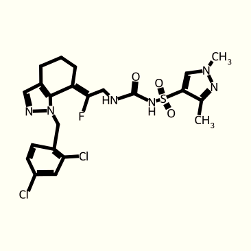 Cc1nn(C)cc1S(=O)(=O)NC(=O)NC/C(F)=C1\CCCc2cnn(Cc3ccc(Cl)cc3Cl)c21